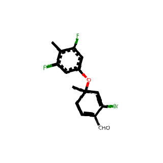 Cc1c(F)cc(OC2(C)C=C(Br)C(C=O)=CC2)cc1F